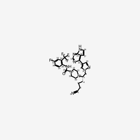 N#CCCC[C@@H](Cn1cc(-c2ncnc3[nH]ccc23)cn1)N1CCN(C(=O)Nc2ccc(F)cc2C(F)(F)F)CC1